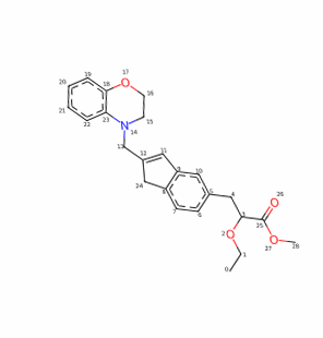 CCOC(Cc1ccc2c(c1)C=C(CN1CCOc3ccccc31)C2)C(=O)OC